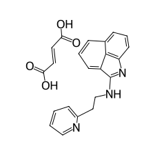 O=C(O)C=CC(=O)O.c1ccc(CCNC2=Nc3cccc4cccc2c34)nc1